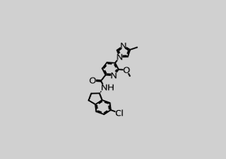 COc1nc(C(=O)N[C@H]2CCc3ccc(Cl)cc32)ccc1-n1cnc(C)c1